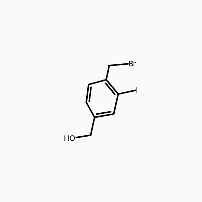 OCc1ccc(CBr)c(I)c1